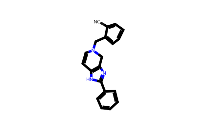 N#Cc1ccccc1CN1C=Cc2[nH]c(-c3ccccc3)nc2C1